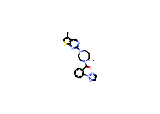 Cc1csc2nc(N3CC[C@H](C)N(C(=O)c4ccccc4-n4nccn4)CC3)ncc12